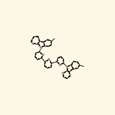 Cc1ccc2c(c1)c1cccnc1n2-c1cccc(-c2cccc(-c3cccc(-n4c5ccc(C)cc5c5cccnc54)n3)n2)n1